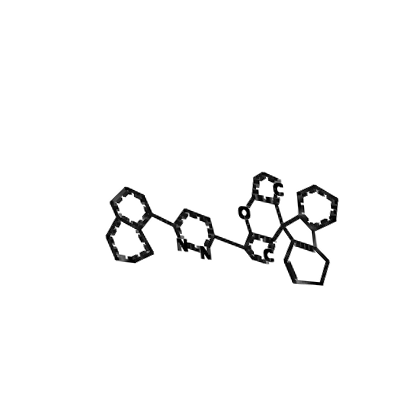 C1=CC2=C(CC1)c1ccccc1C21c2ccccc2Oc2c(-c3ccc(-c4cccc5ccccc45)nn3)cccc21